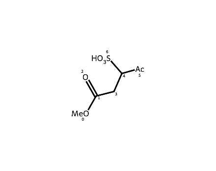 COC(=O)CC(C(C)=O)S(=O)(=O)O